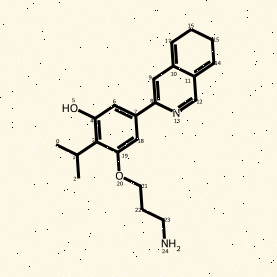 CC(C)c1c(O)cc(-c2cc3c(cn2)=CCCC=3)cc1OCCCN